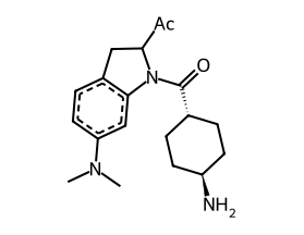 CC(=O)C1Cc2ccc(N(C)C)cc2N1C(=O)[C@H]1CC[C@H](N)CC1